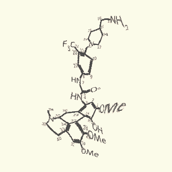 COc1cc(NC(=O)Nc2ccc(N3CCC(CN)CC3)c(C(F)(F)F)c2)c2c(c1O)-c1c(OC)c(OC)cc3c1C(C2)N(C)CC3